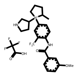 COc1cccc(C(=O)Nc2ccc([N+]3(C4CCNC4)CCCC3C)cc2C(F)(F)F)c1.O=C(O)C(F)(F)F